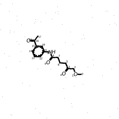 COCC(=O)CCCC(=O)Nc1cccc(C(C)=O)c1